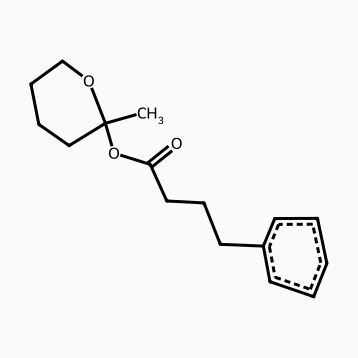 CC1(OC(=O)CCCc2ccccc2)CCCCO1